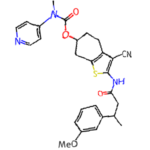 COc1cccc(C(C)CC(=O)Nc2sc3c(c2C#N)CCC(OC(=O)N(C)c2ccncc2)C3)c1